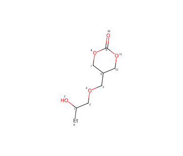 CCC(O)COCC1COC(=O)OC1